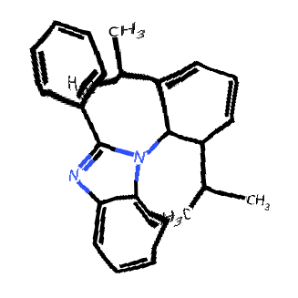 CC(C)C1=CC=CC(C(C)C)C1n1c(-c2ccccc2)nc2ccccc21